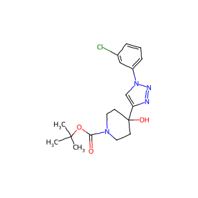 CC(C)(C)OC(=O)N1CCC(O)(c2cn(-c3cccc(Cl)c3)nn2)CC1